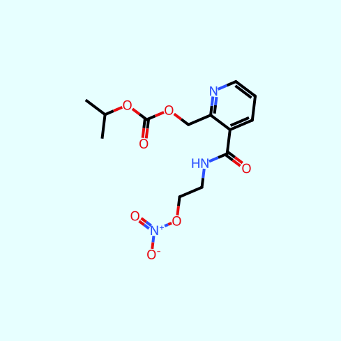 CC(C)OC(=O)OCc1ncccc1C(=O)NCCO[N+](=O)[O-]